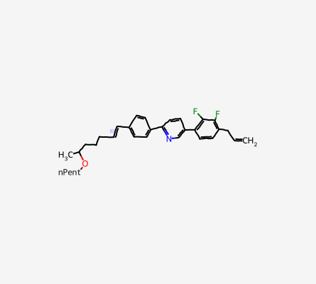 C=CCc1ccc(-c2ccc(-c3ccc(/C=C/CCCC(C)OCCCCC)cc3)nc2)c(F)c1F